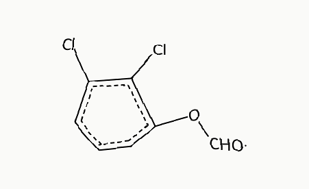 O=[C]Oc1cccc(Cl)c1Cl